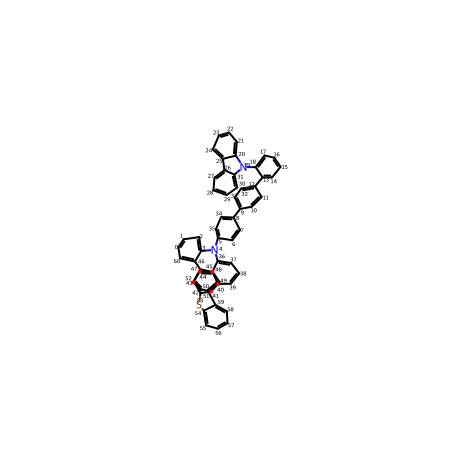 c1ccc(N(c2ccc(-c3ccc(-c4ccccc4-n4c5ccccc5c5ccccc54)cc3)cc2)c2cccc3ccccc23)c(-c2ccc3c(c2)sc2ccccc23)c1